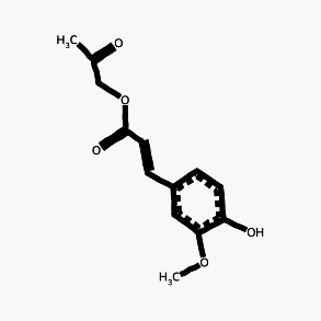 COc1cc(C=CC(=O)OCC(C)=O)ccc1O